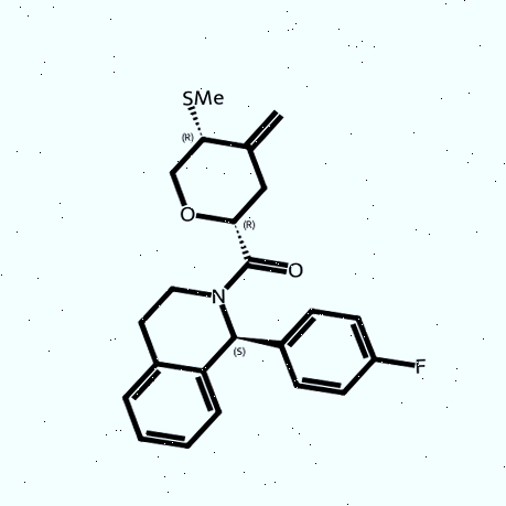 C=C1C[C@H](C(=O)N2CCc3ccccc3[C@@H]2c2ccc(F)cc2)OC[C@@H]1SC